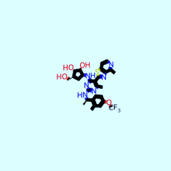 Cc1cc(OC(F)(F)F)ccc1[C@@H](C)Nc1nc(C)c(-c2nc3c(C)nccc3s2)c(NC2C[C@H](CO)[C@@H](O)[C@H]2O)n1